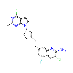 Cc1nc(Cl)c2ccn(C3C=C(CCc4cc(F)c5cc(Cl)c(N)nc5c4)CC3)c2n1